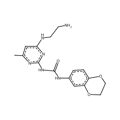 Cc1cc(NCCN)nc(NC(=O)Nc2ccc3c(c2)OCCO3)n1